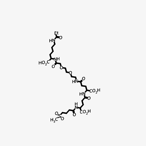 CCC(=O)NCCCCC(NC(=O)COCCOCCNC(=O)CCC(NC(=O)CCC(NC(=O)CCCS(C)(=O)=O)C(=O)O)C(=O)O)C(=O)O